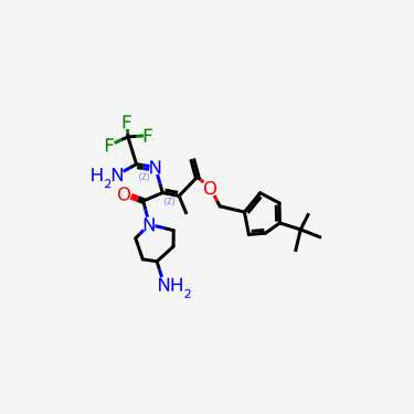 C=C(OCc1ccc(C(C)(C)C)cc1)/C(C)=C(\N=C(/N)C(F)(F)F)C(=O)N1CCC(N)CC1